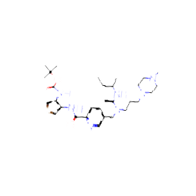 C=C(NC(C)CC)N(CCCN1CCN(C)CC1)Cc1ccc(C(=O)Nc2cscc2NC(=O)OC(C)(C)C)nc1